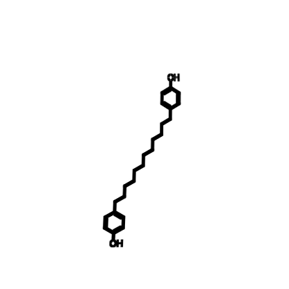 Oc1ccc(CCCCCCCCCCCCc2ccc(O)cc2)cc1